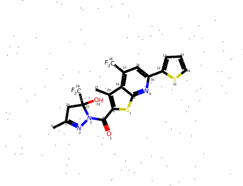 CC1=NN(C(=O)c2sc3nc(-c4cccs4)cc(C(F)(F)F)c3c2C)C(O)(C(F)(F)F)C1